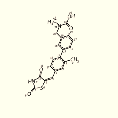 Cc1cc(/C=C2/SC(=O)NC2=O)ccc1-c1cccc(CN(C)C(=O)O)c1